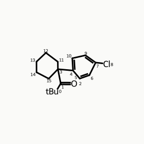 CC(C)(C)C(=O)C1(c2ccc(Cl)cc2)CCCCC1